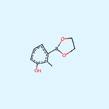 Cc1c(O)cccc1B1OCCO1